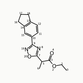 CCOC(=O)C(C)c1nc(-c2ccc3c(c2)CCC3)no1